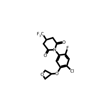 O=C1CC(C(F)(F)F)CC(=O)N1c1cc(OC2COC2)c(Cl)cc1F